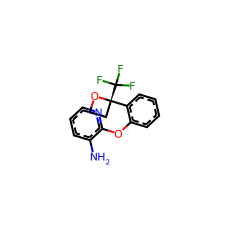 Nc1cccnc1Oc1ccccc1[C@]1(C(F)(F)F)CCO1